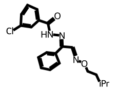 CC(C)CCON=CC(=NNC(=O)c1cccc(Cl)c1)c1ccccc1